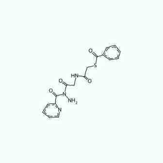 NN(C(=O)CNC(=O)CSC(=O)c1ccccc1)C(=O)c1ccccn1